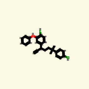 C#CC(CCC(C)(C)c1ccc(Cl)cc1)c1ccc(F)c(Oc2ccccc2)c1